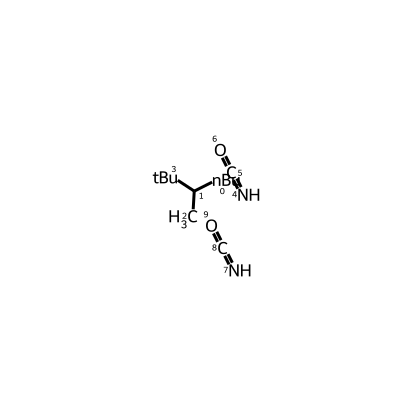 CCCCC(C)C(C)(C)C.N=C=O.N=C=O